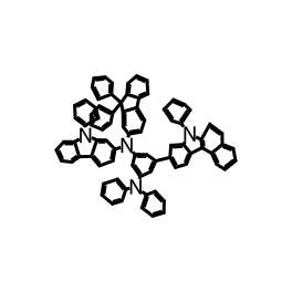 c1ccc(N(c2ccccc2)c2cc(-c3ccc4c5c6ccccc6ccc5n(-c5ccccc5)c4c3)cc(N(c3ccc4c(c3)C(c3ccccc3)(c3ccccc3)c3ccccc3-4)c3ccc4c5ccccc5n(-c5ccccc5)c4c3)c2)cc1